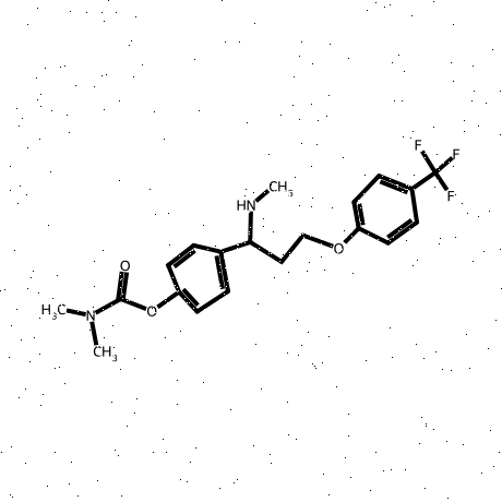 CNC(CCOc1ccc(C(F)(F)F)cc1)c1ccc(OC(=O)N(C)C)cc1